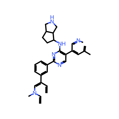 C=C/C(=C\N(C)C=C)c1cccc(-c2ncc(C(/C=N\C)=C/C(=C)C)c(NC3CCC4CNCC43)n2)c1